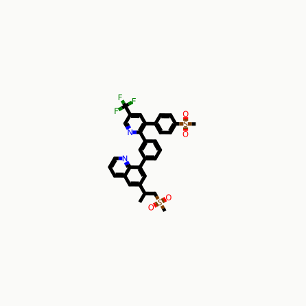 CC(CS(C)(=O)=O)c1cc(-c2cccc(-c3ncc(C(F)(F)F)cc3-c3ccc(S(C)(=O)=O)cc3)c2)c2ncccc2c1